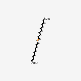 CCCCCCCCCCCCCCCCCCC=C[P]C=CCCCCCCCCCCCCCCCCCC